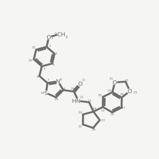 COc1ccc(Cc2nc(C(=O)NCC3(c4ccc5c(c4)OCO5)CCCC3)cs2)cc1